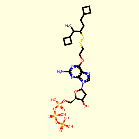 CC(C1CCC1)C(CCC1CCC1)SSCCOc1nc(N)nc2c1ncn2[C@H]1CC(O)[C@@H](COP(=O)(O)OP(=O)(O)OP(=O)(O)O)O1